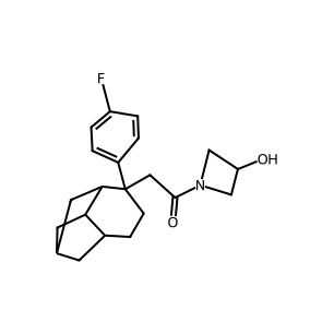 O=C(CC1(c2ccc(F)cc2)CCC2CC3CC2C1C3)N1CC(O)C1